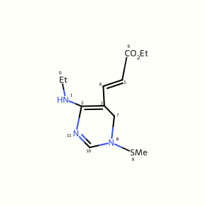 CCNC1=C(C=CC(=O)OCC)CN(SC)C=N1